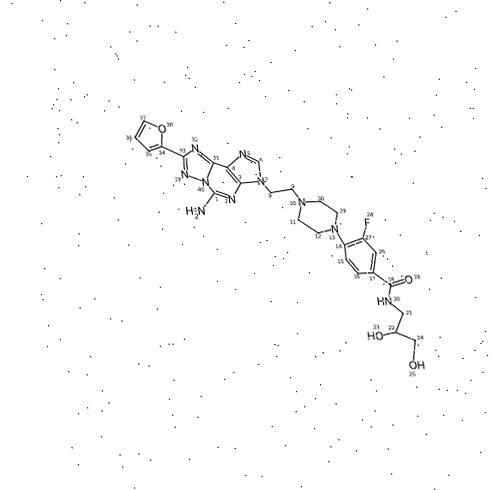 Nc1nc2c(ncn2CCN2CCN(c3ccc(C(=O)NCC(O)CO)cc3F)CC2)c2nc(-c3ccco3)nn12